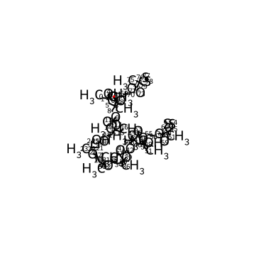 CCC(C)(O)CC(C)(COC(=O)OC(C)(CC)CCOCCC(C)(CO)OCCC(C)(C)OCCC(C)(CC)OC(=O)OCC(C)(CC(C)(O)CC)C(=O)OCCOC(=O)C1(C)CSSC1)C(=O)OCCOC(=O)C1(C)CSSC1